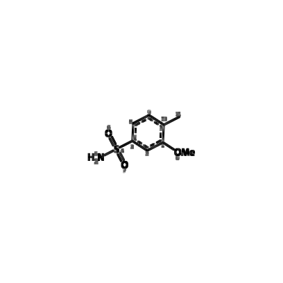 COc1cc(S(N)(=O)=O)ccc1C